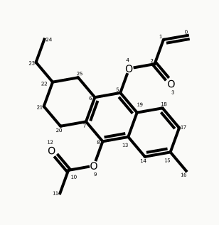 C=CC(=O)Oc1c2c(c(OC(C)=O)c3cc(C)ccc13)CCC(CC)C2